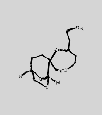 OCC1CCOC2(CC[C@H]3CO[C@@H]2O3)O1